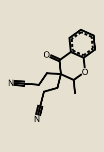 CC1Oc2ccccc2C(=O)C1(CCC#N)CCC#N